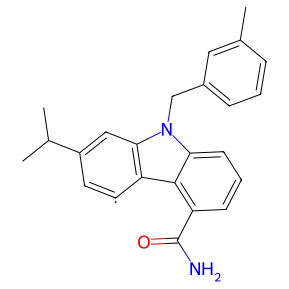 Cc1cccc(Cn2c3cc(C(C)C)c[c]c3c3c(C(N)=O)cccc32)c1